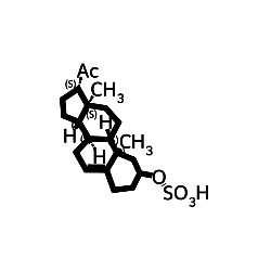 CC(=O)[C@H]1CC[C@H]2[C@@H]3CC=C4CCC(OS(=O)(=O)O)C[C@]4(C)[C@H]3CC[C@]12C